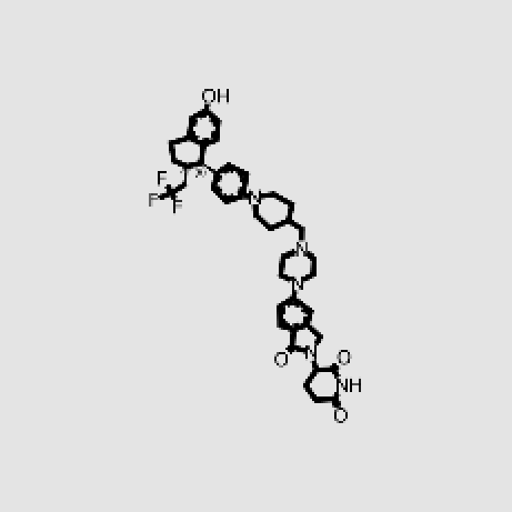 O=C1CCC(N2Cc3cc(N4CCN(CC5CCN(c6ccc([C@@H]7c8ccc(O)cc8CC[C@@H]7CC(F)(F)F)cc6)CC5)CC4)ccc3C2=O)C(=O)N1